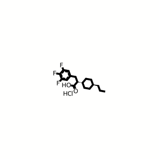 CCC[C@H]1CC[C@H](C(Cc2cc(F)c(F)c(F)c2)C(=O)O)CC1.Cl